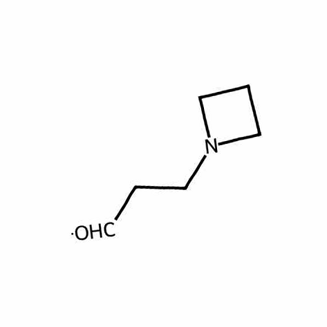 O=[C]CCN1CCC1